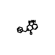 O=C1c2cccc3[nH]nc(c23)CN1CC12CCC(CC1)CC2